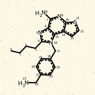 CCCCc1nc2c(N)nc3sccc3c2n1Cc1ccc(CN)cc1